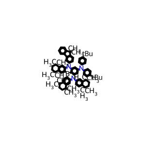 CC(C)(C)c1ccc(N(c2ccc(C(C)(C)C)cc2)c2cc3c4c(c2)N(c2ccc5c(c2)C(C)(C)CCC5(C)C)c2cc5c(cc2B4c2cc4c(cc2N3c2ccc3c(c2)-c2ccccc2C3(C)C)C(C)(C)CCC4(C)C)C(C)(C)CCC5(C)C)cc1